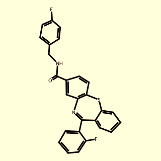 O=C(NCc1ccc(F)cc1)c1ccc2c(c1)N=C(c1ccccc1F)c1ccccc1S2